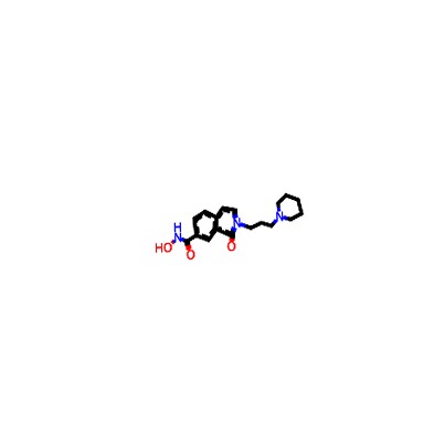 O=C(NO)c1ccc2ccn(CCCN3CCCCC3)c(=O)c2c1